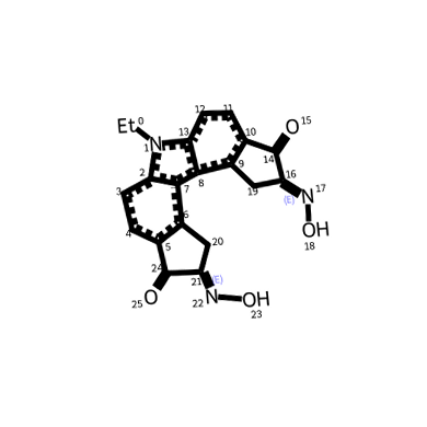 CCn1c2ccc3c(c2c2c4c(ccc21)C(=O)/C(=N/O)C4)C/C(=N\O)C3=O